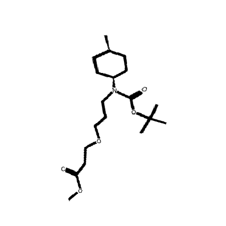 COC(=O)CCOCCCN(C(=O)OC(C)(C)C)[C@H]1CC[C@@H](C)CC1